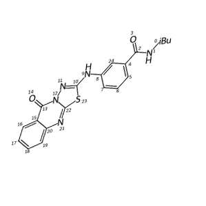 CCC(C)NC(=O)c1cccc(Nc2nn3c(=O)c4ccccc4nc3s2)c1